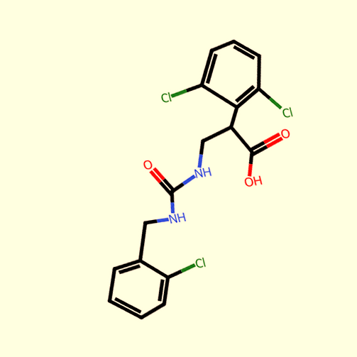 O=C(NCc1ccccc1Cl)NCC(C(=O)O)c1c(Cl)cccc1Cl